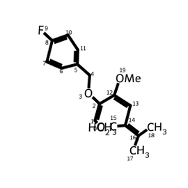 C/C=C(OCc1ccc(F)cc1)\C(=C/C(C(=O)O)=C(C)C)OC